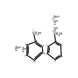 O=C(O)c1ccccc1.O=C(O)c1ccccc1.[O-2].[O-2].[Zn+2].[Zn+2].[Zn+2]